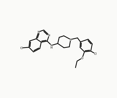 CCOc1cc(CN2CCC(Nc3ncnc4cc(Cl)ccc34)CC2)ccc1Cl